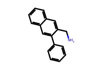 NCc1cc2ccccc2cc1-c1ccccc1